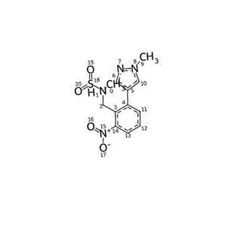 CN(Cc1c(-c2cnn(C)c2)cccc1[N+](=O)[O-])[SH](=O)=O